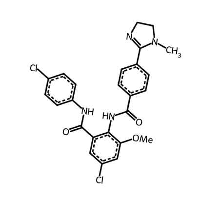 COc1cc(Cl)cc(C(=O)Nc2ccc(Cl)cc2)c1NC(=O)c1ccc(C2=NCCN2C)cc1